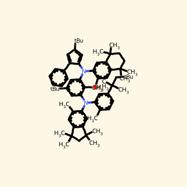 Cc1cc2c(cc1N(C1=C=C(C(C)(C)C)C=C1c1ccccc1)c1cc(C(C)(C)C)cc(N(c3cc(C(C)(C)CC(C)(C)C)ccc3C)c3cc4c(cc3C)C(C)(C)CC4(C)C)c1C)C(C)(C)CCC2(C)C